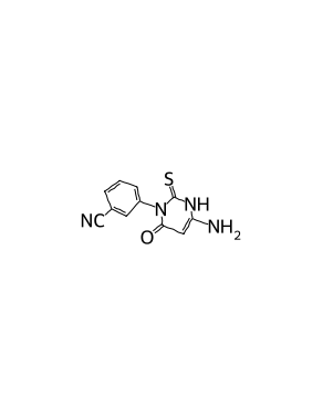 N#Cc1cccc(-n2c(=O)cc(N)[nH]c2=S)c1